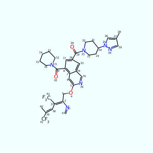 C=N/C(COc1cc2c(C(=O)N3CCCCC3)cc(C(=O)N3CCC(n4cc(C)cn4)CC3)cc2cn1)=C(\C=C(/C)C(F)(F)F)C(F)(F)F